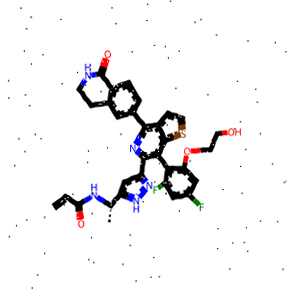 C=CC(=O)N[C@@H](C)c1cc(-c2nc(-c3ccc4c(c3)CCNC4=O)c3ccsc3c2-c2c(F)cc(F)cc2OCCO)n[nH]1